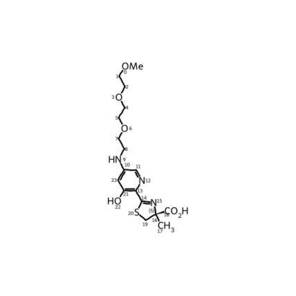 COCCOCCOCCNc1cnc(C2=N[C@@](C)(C(=O)O)CS2)c(O)c1